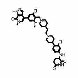 COc1cc(-c2cn(C)c(=O)c3[nH]ncc23)cc(Cl)c1CN1CCC(CCN2CCC(c3ccc(NC4CCC(=O)NC4=O)cc3Cl)CC2)CC1